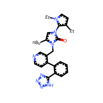 CCCCc1cn(-c2c(CC)ccn2CC)c(=O)n1Cc1cnccc1-c1ccccc1-c1nnn[nH]1